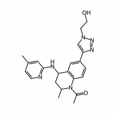 CC(=O)N1c2ccc(-c3cn(CCO)nn3)cc2C(Nc2cc(C)ccn2)CC1C